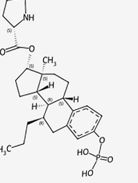 CCC[C@@H]1Cc2cc(OP(=O)(O)O)ccc2[C@H]2CC[C@]3(C)[C@@H](OC(=O)[C@@H]4CCCN4)CC[C@H]3[C@H]12